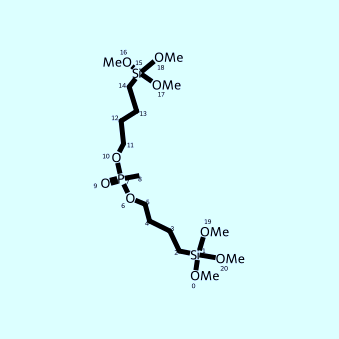 CO[Si](CCCCOP(C)(=O)OCCCC[Si](OC)(OC)OC)(OC)OC